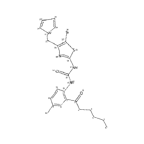 CCCCCC(=O)c1cc(C)ccc1NC(=O)Nc1nc(C[SH]2C=CC=C2)c(Br)s1